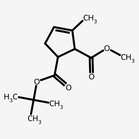 COC(=O)C1C(C)=CCC1C(=O)OC(C)(C)C